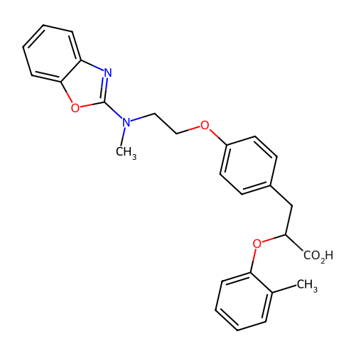 Cc1ccccc1OC(Cc1ccc(OCCN(C)c2nc3ccccc3o2)cc1)C(=O)O